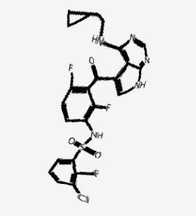 O=C(c1c(F)ccc(NS(=O)(=O)c2cccc(Cl)c2F)c1F)c1c[nH]c2ncnc(NCC3CC3)c12